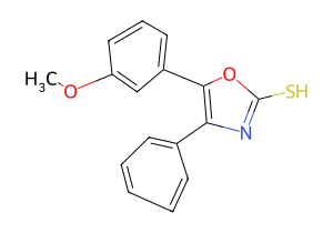 COc1cccc(-c2oc(S)nc2-c2ccccc2)c1